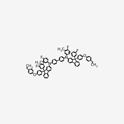 C=Cc1ccc(Oc2ccc(C3(c4cc(F)cc(F)c4)c4ccccc4-c4ccc(N(c5ccc(-c6ccc(N(c7ccc(F)c(C)c7)c7ccc8c(c7)[C@](c7ccc(Oc9ccc(C=C)cc9)cc7)(c7cc(F)cc(F)c7)c7ccccc7-8)cc6)cc5)c5ccc(F)c(C)c5)cc43)cc2)cc1